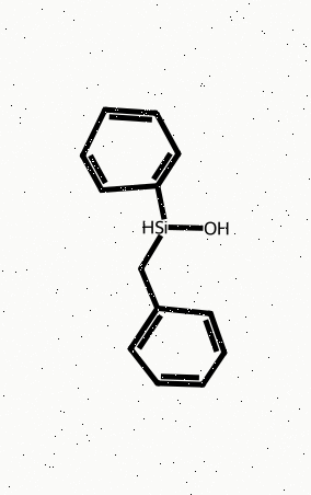 O[SiH](Cc1ccccc1)c1ccccc1